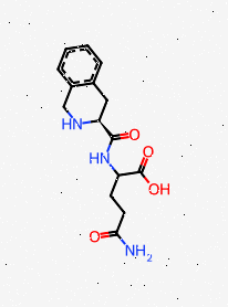 NC(=O)CCC(NC(=O)[C@@H]1Cc2ccccc2CN1)C(=O)O